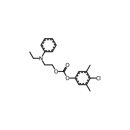 CCN(CCOC(=O)Oc1cc(C)c(Cl)c(C)c1)c1ccccc1